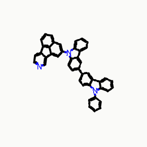 c1ccc(-n2c3ccccc3c3cc(-c4ccc5c(c4)c4ccccc4n5-c4cc5c6c(cccc6c4)-c4ccncc4-5)ccc32)cc1